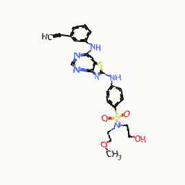 C#Cc1cccc(Nc2ncnc3nc(Nc4ccc(S(=O)(=O)N(CCO)CCOC)cc4)sc23)c1